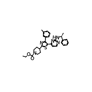 CCOC(=O)N1CCC(c2nc(-c3cccc(C)c3)c(-c3ccnc(N[C@@H](C)c4ccccc4)n3)s2)CC1